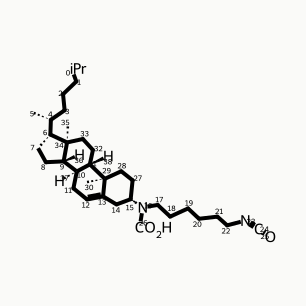 CC(C)CCC[C@@H](C)[C@H]1CC[C@H]2[C@@H]3CC=C4C[C@@H](N(CCCCCCN=C=O)C(=O)O)CC[C@]4(C)[C@H]3CC[C@]12C